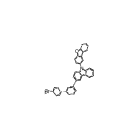 Brc1ccc(-c2cccc(-c3ccc4c(c3)c3ccccc3n4-c3ccc4oc5ccccc5c4c3)c2)cc1